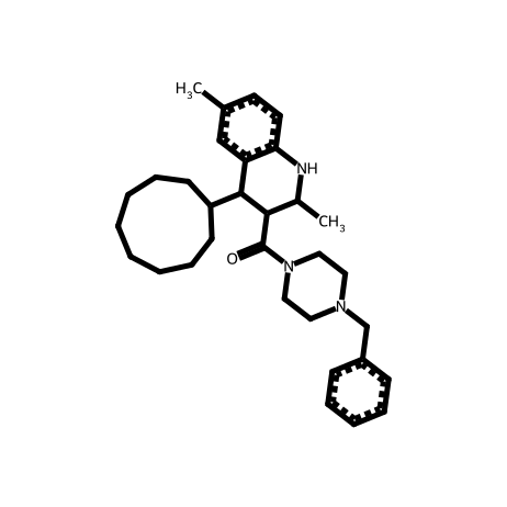 Cc1ccc2c(c1)C(C1CCCCCCCC1)C(C(=O)N1CCN(Cc3ccccc3)CC1)C(C)N2